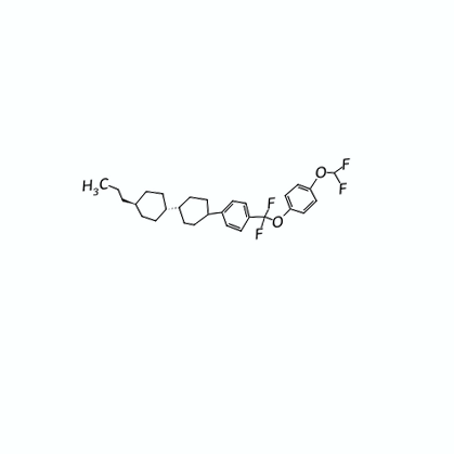 CCC[C@H]1CC[C@H](C2CCC(c3ccc(C(F)(F)Oc4ccc(OC(F)F)cc4)cc3)CC2)CC1